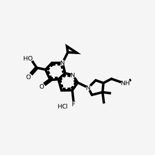 CNCC1CN(c2nc3c(cc2F)c(=O)c(C(=O)O)cn3C2CC2)CC1(C)C.Cl